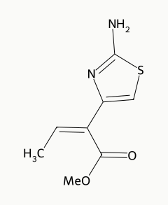 CC=C(C(=O)OC)c1csc(N)n1